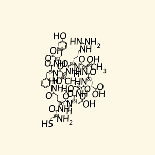 C[C@@H](O)[C@H](NC(=O)[C@H](CCCNC(=N)N)NC(=O)[C@@H](NC(=O)[C@H](CCC(=O)O)NC(=O)[C@H](CO)NC(=O)[C@H](CC(=O)O)NC(=O)[C@H](CCC(N)=O)NC(=O)[C@@H](N)CS)[C@@H](C)O)C(=O)N[C@@H](Cc1ccccc1)C(=O)N[C@@H](Cc1ccc(O)cc1)C(=O)O